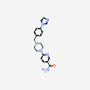 NC(=O)c1ccc(N2CCN(Cc3ccc(-n4ccnc4)cc3)CC2)nc1